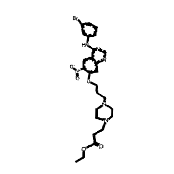 CCOC(=O)CCN1CCN(CCCOc2cc3ncnc(Nc4cccc(Br)c4)c3cc2[N+](=O)[O-])CC1